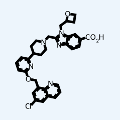 O=C(O)c1ccc2nc(CN3CCC(c4cccc(OCc5cc(Cl)cc6cccnc56)n4)CC3)n(CC3CCO3)c2c1